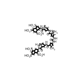 Cn1cc(NC(=O)Nc2cc(C(=O)Nc3cc(C(=O)Nc4cc(S(=O)(=O)O)c5cc(S(=O)(=O)O)cc(S(=O)(=O)O)c5c4)n(C)c3)n(C)c2)cc1C(=O)Nc1cc(C(=O)Nc2cc(S(=O)(=O)O)c3cc(S(=O)(=O)O)cc(S(=O)(=O)O)c3c2)n(C)c1